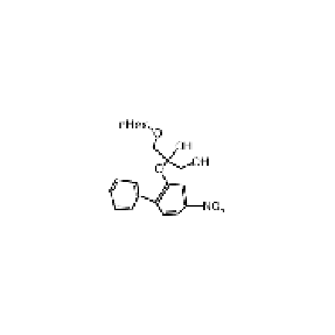 CCCCCCOCC(O)(CO)Oc1cc([N+](=O)[O-])ccc1-c1ccccc1